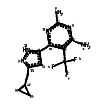 Nc1nc(N)c(C(F)(F)F)c(-c2cc(C3CC3)n[nH]2)n1